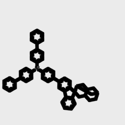 c1ccc(-c2ccc(N(c3ccc(-c4ccccc4)cc3)c3ccc(-c4ccc5c(c4)-c4ccccc4C54CC5CCC6CC5CC4C6)cc3)cc2)cc1